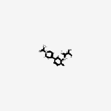 Cc1ccc(C2=CCN(C(=O)O)CC2)cc1NC(=O)C(C)C